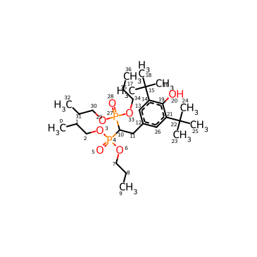 CCCOP(=O)(OCCC)C(Cc1cc(C(C)(C)C)c(O)c(C(C)(C)C)c1)P(=O)(OCCC)OCCC